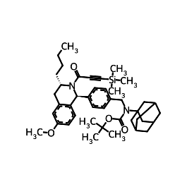 CCCC[C@H]1Cc2cc(OC)ccc2[C@H](c2ccc(CN(C(=O)OC(C)(C)C)C34CC5CC(CC(C5)C3)C4)cc2)N1C(=O)C#C[Si](C)(C)C